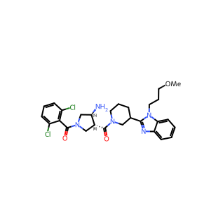 COCCCn1c(C2CCCN(C(=O)[C@@H]3CN(C(=O)c4c(Cl)cccc4Cl)C[C@H]3N)C2)nc2ccccc21